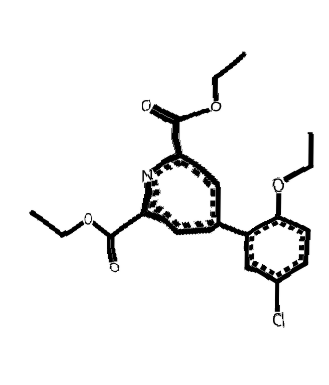 CCOC(=O)c1cc(-c2cc(Cl)ccc2OCC)cc(C(=O)OCC)n1